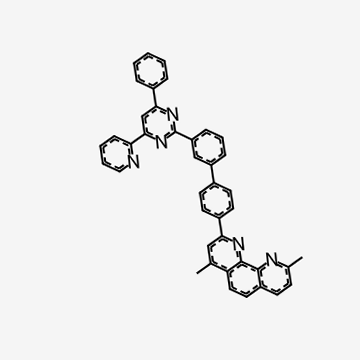 Cc1ccc2ccc3c(C)cc(-c4ccc(-c5cccc(-c6nc(-c7ccccc7)cc(-c7ccccn7)n6)c5)cc4)nc3c2n1